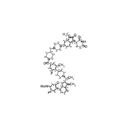 CNc1cc(=O)n(-c2ccnc3c2cc([C@H](C)N2CC=C(c4c(C)cc(C(=O)N5CCC(CN6CCN(c7ccc8c(c7)n(C)c(=O)n8C7CCC(=O)NC7=O)CC6)CC5)cc4F)CC2)n3C)cc1F